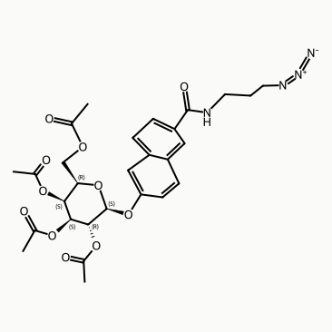 CC(=O)OC[C@H]1O[C@@H](Oc2ccc3cc(C(=O)NCCCN=[N+]=[N-])ccc3c2)[C@H](OC(C)=O)[C@@H](OC(C)=O)[C@H]1OC(C)=O